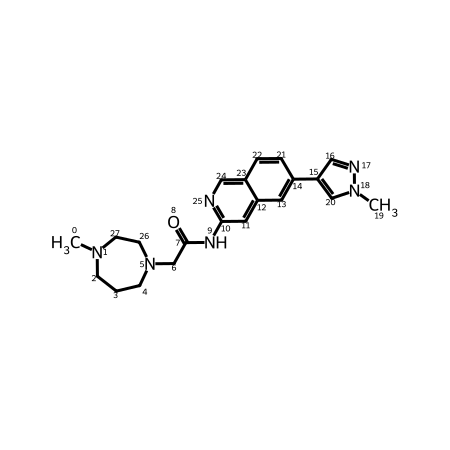 CN1CCCN(CC(=O)Nc2cc3cc(-c4cnn(C)c4)ccc3cn2)CC1